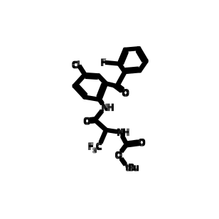 CC(C)(C)OC(=O)NC(C(=O)Nc1ccc(Cl)cc1C(=O)c1ccccc1F)C(F)(F)F